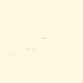 CO[C@H]1C=C2CC[C@H]3[C@@H]4CC[C@H](OC(=O)Oc5ccccc5)[C@@]4(C)CC[C@@H]3[C@@]2(C)CC1